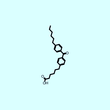 CCCCCCc1ccc(C(=O)c2ccc(CCCCCC(=O)O)cc2)cc1